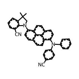 CC1(C)CN(c2ccc3ccc4c(N(c5ccccc5)c5ccc(C#N)cc5)ccc5ccc2c3c54)c2c(C#N)cccc21